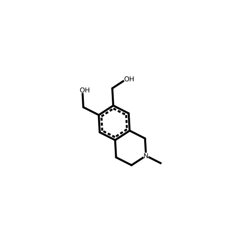 CN1CCc2cc(CO)c(CO)cc2C1